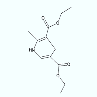 CCOC(=O)C1=CNC(C)=C(C(=O)OCC)C1